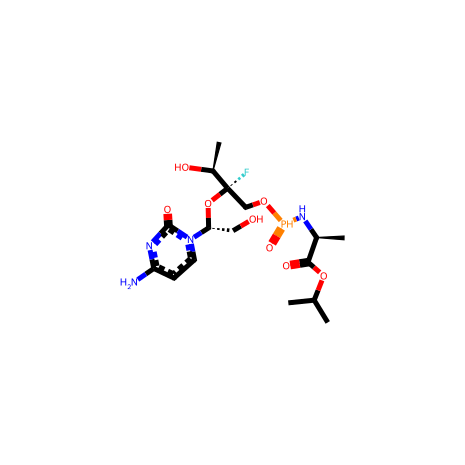 CC(C)OC(=O)[C@H](C)N[PH](=O)OC[C@@](F)(O[C@H](CO)n1ccc(N)nc1=O)[C@H](C)O